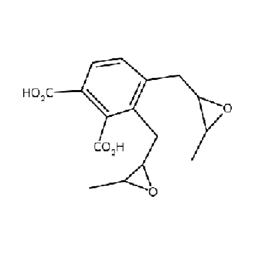 CC1OC1Cc1ccc(C(=O)O)c(C(=O)O)c1CC1OC1C